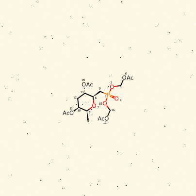 CC(=O)OCOP(=O)(C[C@H]1O[C@@H](C)[C@@H](OC(C)=O)C[C@@H]1OC(C)=O)OCOC(C)=O